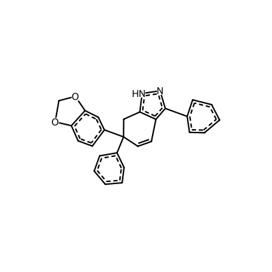 C1=CC(c2ccccc2)(c2ccc3c(c2)OCO3)Cc2[nH]nc(-c3ccccc3)c21